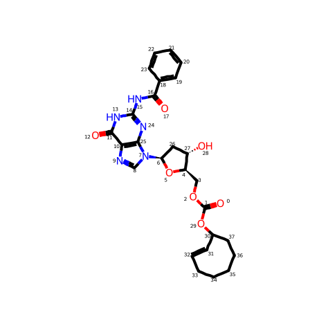 O=C(OC[C@H]1O[C@@H](n2cnc3c(=O)[nH]c(NC(=O)c4ccccc4)nc32)C[C@@H]1O)OC1/C=C/CCCCC1